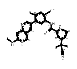 CNc1cc2ncc(-c3cc(NC(=O)c4cc(C(C)(C)C#N)ccn4)c(F)cc3C)cc2cn1